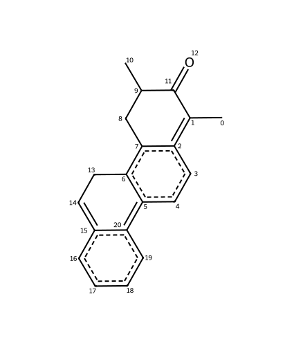 CC1=c2ccc3c(c2CC(C)C1=O)CC=c1ccccc1=3